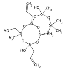 C=CC[Si]1(O)O[Si](C)(CO)O[Si]2(CC=C)O[Si](C)(O)O[Si](C)(C)O[Si](C)(O1)O2